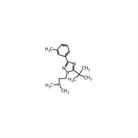 Cc1cccc(-c2nc(C(C)(C)C)n(CCN(C)C)n2)c1